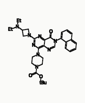 CCN(CC)C1CN(c2nc(N3CCN(C(=O)OC(C)(C)C)CC3)c3ncn(-c4cccc5ccccc45)c(=O)c3n2)C1